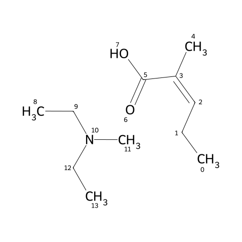 CCC=C(C)C(=O)O.CCN(C)CC